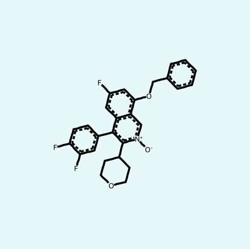 [O-][n+]1cc2c(OCc3ccccc3)cc(F)cc2c(-c2ccc(F)c(F)c2)c1C1CCOCC1